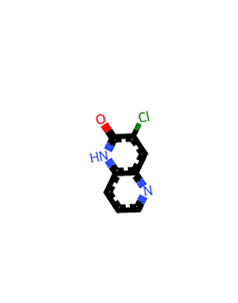 O=c1[nH]c2cccnc2cc1Cl